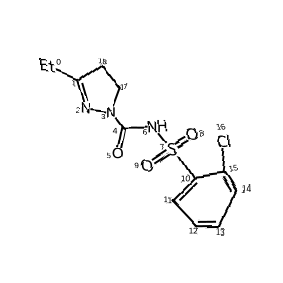 CCC1=NN(C(=O)NS(=O)(=O)c2ccccc2Cl)CC1